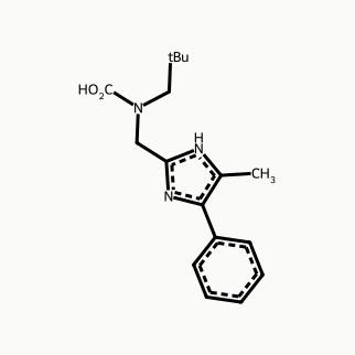 Cc1[nH]c(CN(CC(C)(C)C)C(=O)O)nc1-c1ccccc1